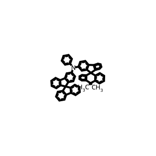 CC1(C)c2ccccc2C2(c3ccccc3-c3ccc(N(c4ccccc4)c4ccc5c(c4)-c4ccccc4C54c5ccccc5-c5ccccc54)cc32)c2ccccc21